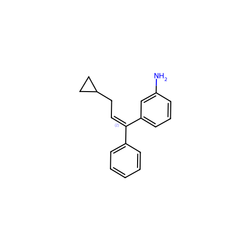 Nc1cccc(/C(=C\CC2CC2)c2ccccc2)c1